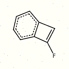 FC1=Cc2ccccc21